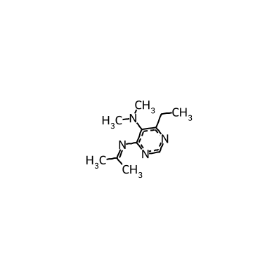 CCc1ncnc(N=C(C)C)c1N(C)C